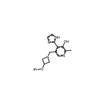 Cc1ncc(CN2CC(OC(C)C)C2)c(-c2ncc[nH]2)c1O